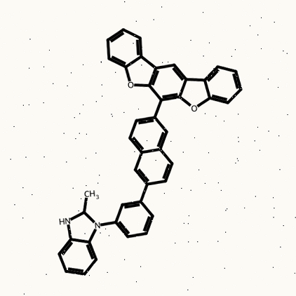 CC1Nc2ccccc2N1c1cccc(-c2ccc3cc(-c4c5oc6ccccc6c5cc5c4oc4ccccc45)ccc3c2)c1